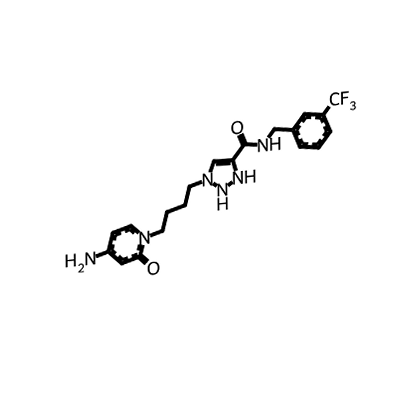 Nc1ccn(CCCCN2C=C(C(=O)NCc3cccc(C(F)(F)F)c3)NN2)c(=O)c1